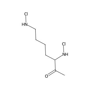 CC(=O)C(CCCCNCl)NCl